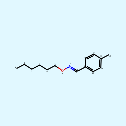 CCCCCCO/N=[C]/c1ccc(C)cc1